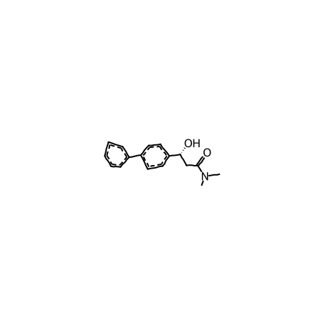 CN(C)C(=O)C[C@@H](O)c1ccc(-c2ccccc2)cc1